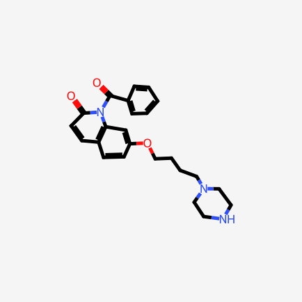 O=C(c1ccccc1)n1c(=O)ccc2ccc(OCCCCN3CCNCC3)cc21